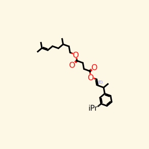 CC(C)=CCCC(C)CCOC(=O)CCC(=O)O/C=C/C(C)c1cccc(C(C)C)c1